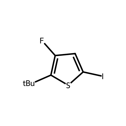 CC(C)(C)c1sc(I)cc1F